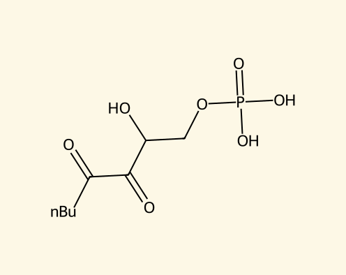 CCCCC(=O)C(=O)C(O)COP(=O)(O)O